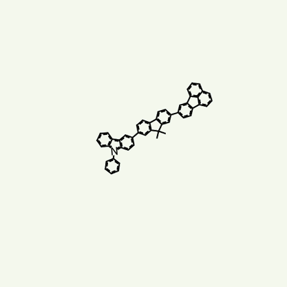 CC1(C)c2cc(-c3ccc4c(c3)-c3cccc5cccc-4c35)ccc2-c2ccc(-c3ccc4c(c3)c3ccccc3n4-c3ccccc3)cc21